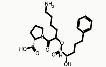 NCCCCC(O[PH](=O)[C@H](O)CCCc1ccccc1)C(=O)N1CCC[C@H]1C(=O)O